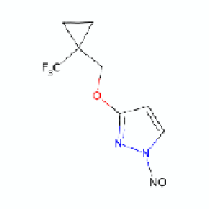 O=Nn1ccc(OCC2(C(F)(F)F)CC2)n1